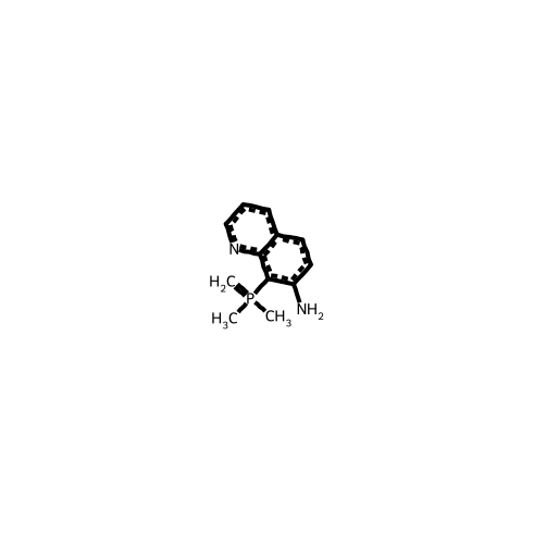 C=P(C)(C)c1c(N)ccc2cccnc12